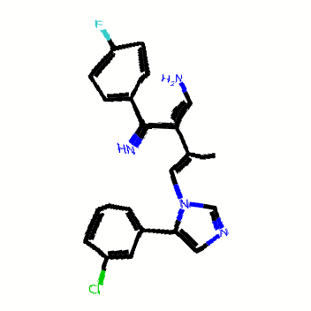 CC(=C\n1cncc1-c1cccc(Cl)c1)/C(=C/N)C(=N)c1ccc(F)cc1